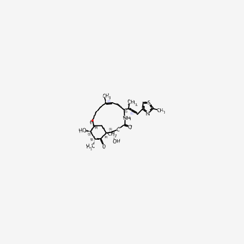 C/C1=C/C[C@@H](/C(C)=C/c2csc(C)n2)NC(=O)C[C@H](O)[C@@]2(C)C[C@@H](CCC1)[C@H](O)[C@@H](C)C2=O